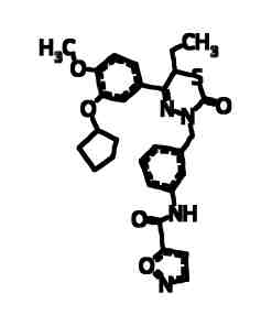 CCC1SC(=O)N(Cc2cccc(NC(=O)c3ccno3)c2)N=C1c1ccc(OC)c(OC2CCCC2)c1